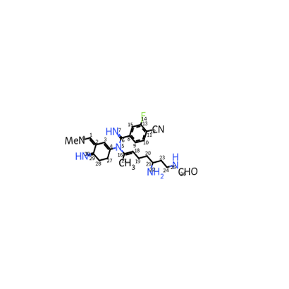 CN/C=C1/C=C(N(C(=N)c2ccc(C#N)c(F)c2)/C(C)=C/CCC(N)CCNC=O)CCC1=N